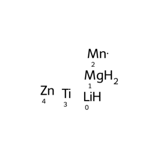 [LiH].[MgH2].[Mn].[Ti].[Zn]